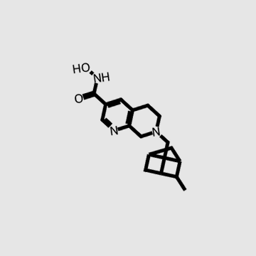 CC1C2CC3CC1C32CN1CCc2cc(C(=O)NO)cnc2C1